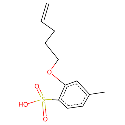 C=CCCCOc1cc(C)ccc1S(=O)(=O)O